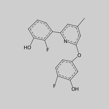 Cc1cc(Oc2ccc(F)c(O)c2)nc(-c2cccc(O)c2F)c1